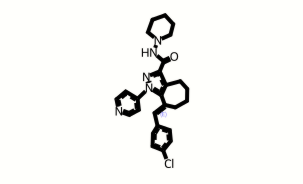 O=C(NN1CCCCC1)c1nn(-c2ccncc2)c2c1CCCC/C2=C\c1ccc(Cl)cc1